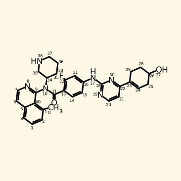 Cc1cccc2ccnc(N(C(=O)c3ccc(Nc4nccc(C5=CCC(O)CC5)n4)cc3F)[C@@H]3CCCNC3)c12